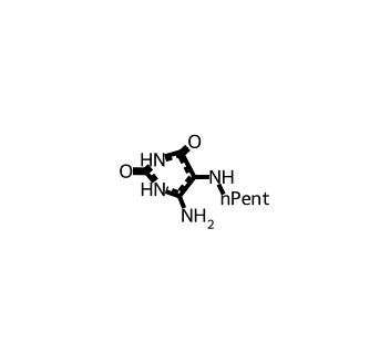 CCCCCNc1c(N)[nH]c(=O)[nH]c1=O